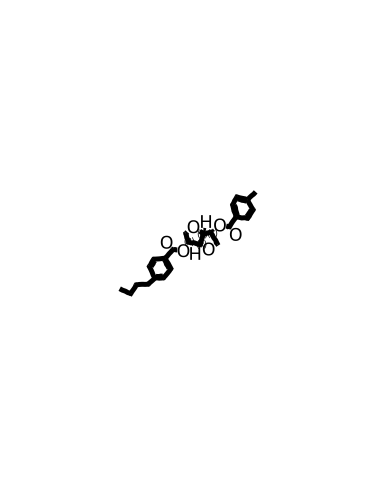 CCCCc1ccc(C(=O)O[C@@H]2CO[C@H]3[C@@H]2OC[C@@H]3OC(=O)c2ccc(C)cc2)cc1